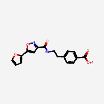 O=C(O)c1ccc(CCNC(=O)c2cc(-c3ccco3)on2)cc1